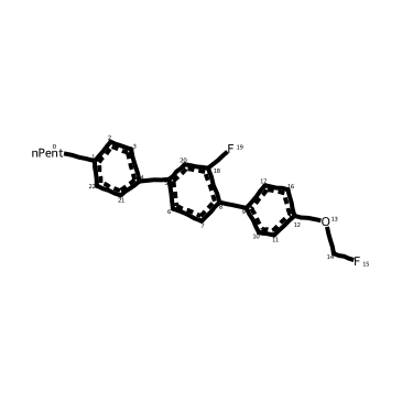 CCCCCc1ccc(-c2ccc(-c3ccc(OCF)cc3)c(F)c2)cc1